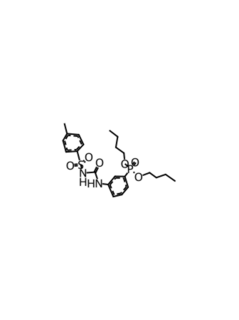 CCCCOP(=O)(OCCCC)c1cccc(NC(=O)NS(=O)(=O)c2ccc(C)cc2)c1